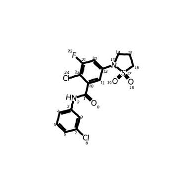 O=C(Nc1cccc(Cl)c1)c1cc(N2CCCS2(=O)=O)cc(F)c1Cl